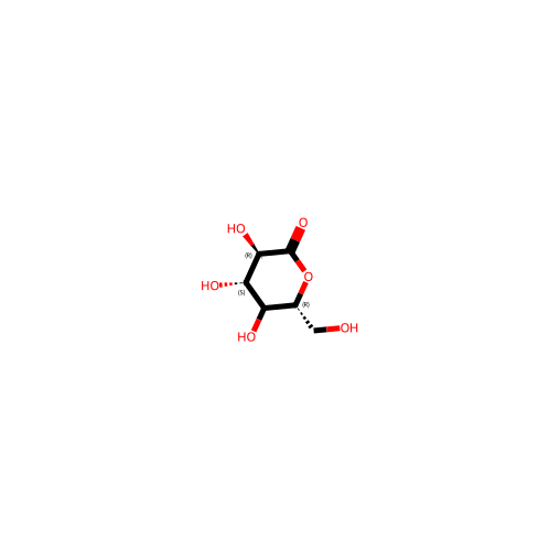 O=C1O[C@H](CO)C(O)[C@H](O)[C@H]1O